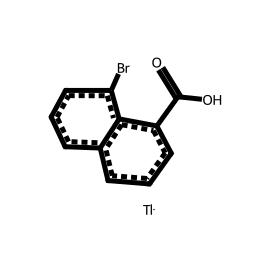 O=C(O)c1cccc2cccc(Br)c12.[Tl]